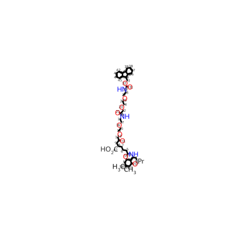 CC(C)CC(NCCCCC(CC(=O)COCCOCCNC(=O)COCCOCCNC(=O)OCC1c2ccccc2-c2ccccc21)C(=O)O)=C1C(=O)CC(C)(C)CC1=O